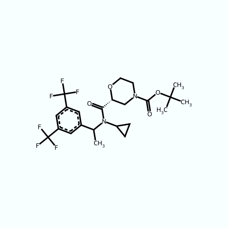 CC(c1cc(C(F)(F)F)cc(C(F)(F)F)c1)N(C(=O)[C@H]1CN(C(=O)OC(C)(C)C)CCO1)C1CC1